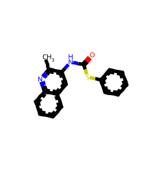 Cc1nc2ccccc2cc1NC(=O)Sc1ccccc1